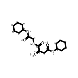 C=C(CC(=O)OC1CCCCC1)C(=O)OCC(=O)OC1CCCCC1